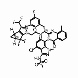 Cc1cccc2c(=O)n(-c3ccc(Cl)c4c(NS(C)(=O)=O)nn(C)c34)c([C@H](Cc3cc(F)cc(F)c3)NC(=O)Cn3nc(C(F)F)c4c3C(F)(F)[C@@H]3C[C@H]43)nc12